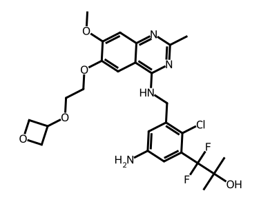 COc1cc2nc(C)nc(NCc3cc(N)cc(C(F)(F)C(C)(C)O)c3Cl)c2cc1OCCOC1COC1